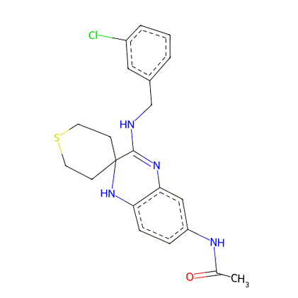 CC(=O)Nc1ccc2c(c1)N=C(NCc1cccc(Cl)c1)C1(CCSCC1)N2